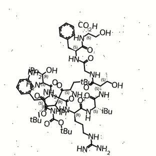 CCC(C)[C@H](NC(=O)[C@@H](CCCNC(=N)N)NC(=O)[C@](C(=O)[C@@H](N)CC(C)(C)C)(C(C(=O)[C@@H](N)Cc1cccc(N)c1)C(C)C)N(C(=O)[C@@H](N)[C@H](O)C(C)C)C(=O)[C@@H](CC(C)(C)C)NC(=O)OC(C)(C)C)C(=O)N[C@H](C(=O)NCC(=O)N[C@@H](Cc1ccccc1)C(=O)N[C@@H](CO)C(=O)O)[C@H](C)O